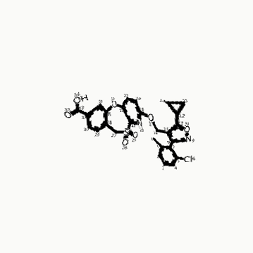 Cc1cccc(Cl)c1-c1noc(C2CC2)c1COc1ccc2c(n1)S(=O)(=O)Cc1ccc(C(=O)O)cc1O2